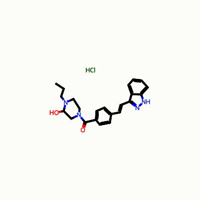 CCCN1CCN(C(=O)c2ccc(C=Cc3n[nH]c4ccccc34)cc2)CC1O.Cl